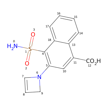 NS(=O)(=O)c1c(N2C=CC2)cc(C(=O)O)c2ccccc12